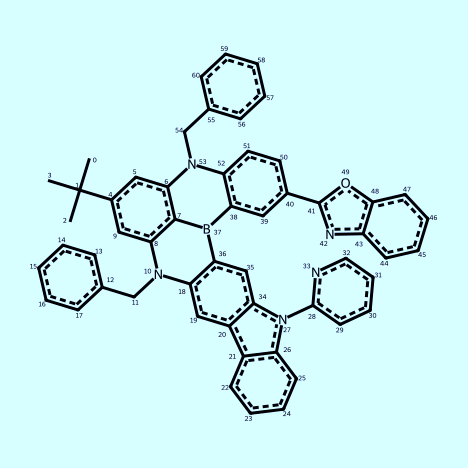 CC(C)(C)c1cc2c3c(c1)N(Cc1ccccc1)c1cc4c5ccccc5n(-c5ccccn5)c4cc1B3c1cc(-c3nc4ccccc4o3)ccc1N2Cc1ccccc1